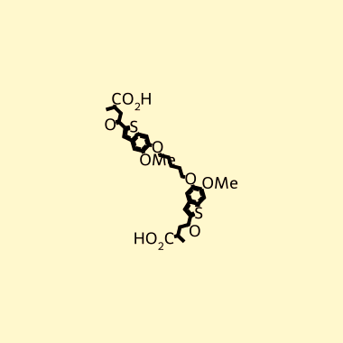 COc1cc2sc(C(=O)CC(C)C(=O)O)cc2cc1OCCCCCOc1cc2sc(C(=O)CC(C)C(=O)O)cc2cc1OC